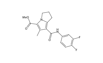 COC(=O)c1c(C)c(C(=O)Nc2ccc(F)c(F)c2)c2n1CCC2